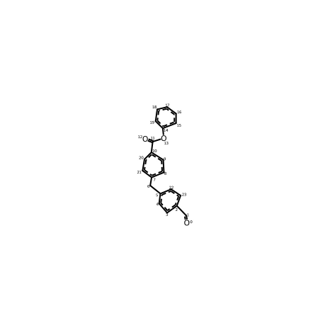 O=Cc1ccc(Cc2ccc(C(=O)Oc3ccccc3)cc2)cc1